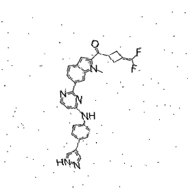 Cn1c(C(=O)C2CC(=C(F)F)C2)cc2ccc(-c3nccc(Nc4ccc(-c5cn[nH]c5)cc4)n3)cc21